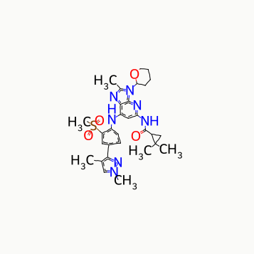 Cc1cn(C)nc1-c1ccc(Nc2cc(NC(=O)C3CC3(C)C)nc3c2nc(C)n3C2CCCCO2)c(S(C)(=O)=O)c1